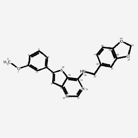 COc1cccc(-c2cc3ncnc(NCc4ccc5c(c4)OCO5)c3s2)c1